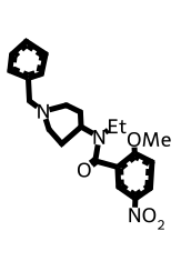 CCN(C(=O)c1cc([N+](=O)[O-])ccc1OC)C1CCN(Cc2ccccc2)CC1